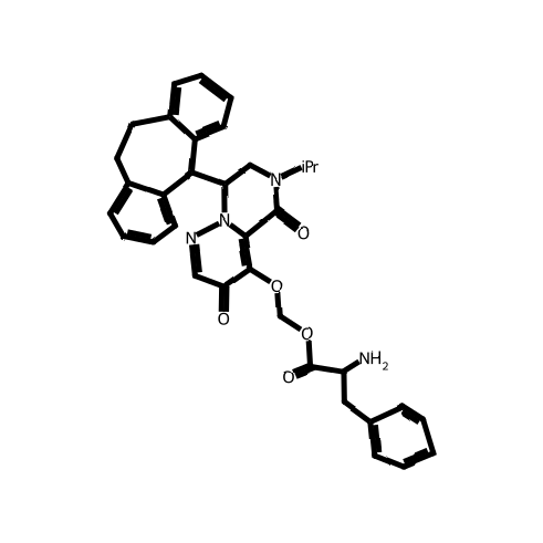 CC(C)N1CC(C2c3ccccc3CCc3ccccc32)n2ncc(=O)c(OCOC(=O)C(N)Cc3ccccc3)c2C1=O